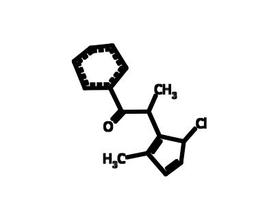 CC1=C(C(C)C(=O)c2ccccc2)C(Cl)C=C1